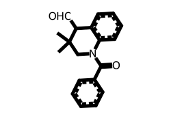 CC1(C)CN(C(=O)c2ccccc2)c2ccccc2C1C=O